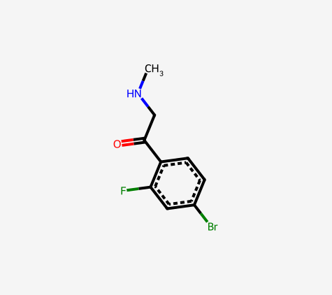 CNCC(=O)c1ccc(Br)cc1F